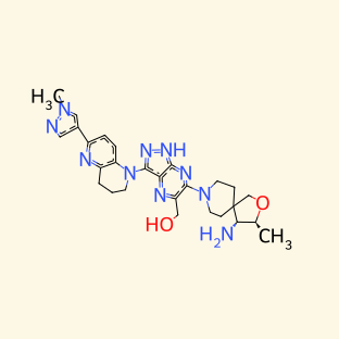 C[C@@H]1OCC2(CCN(c3nc4[nH]nc(N5CCCc6nc(-c7cnn(C)c7)ccc65)c4nc3CO)CC2)[C@@H]1N